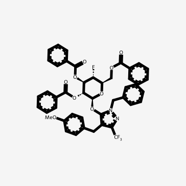 COc1ccc(Cc2c(C(F)(F)F)nn(Cc3ccccc3)c2O[C@@H]2O[C@H](COC(=O)c3ccccc3)[C@@H](F)[C@H](OC(=O)c3ccccc3)[C@H]2OC(=O)c2ccccc2)cc1